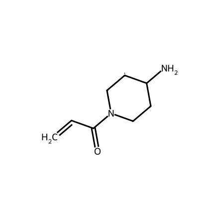 C=CC(=O)N1C[CH]C(N)CC1